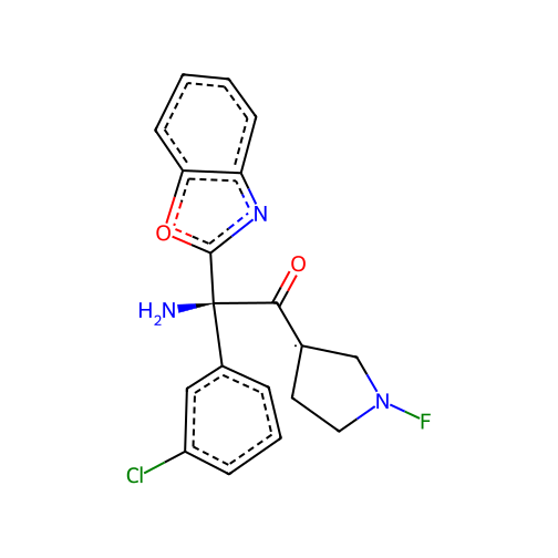 N[C@@](C(=O)[C]1CCN(F)C1)(c1cccc(Cl)c1)c1nc2ccccc2o1